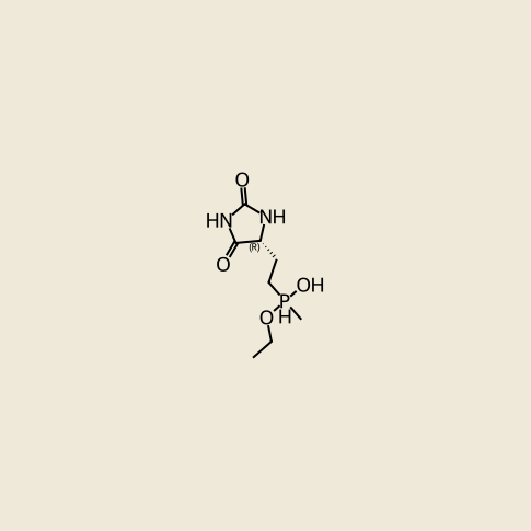 CCO[PH](C)(O)CC[C@H]1NC(=O)NC1=O